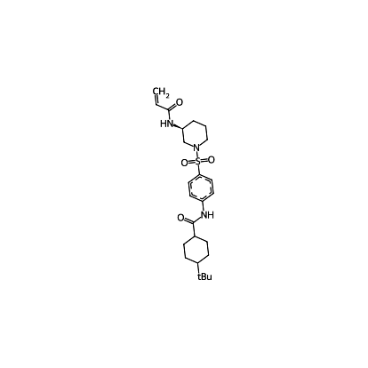 C=CC(=O)N[C@H]1CCCN(S(=O)(=O)c2ccc(NC(=O)C3CCC(C(C)(C)C)CC3)cc2)C1